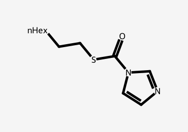 CCCCCCCCSC(=O)n1ccnc1